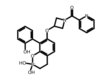 O=C(c1ccccn1)N1CC(Oc2ccc3c(c2-c2ccccc2O)O[B-](O)(O)CC3)C1